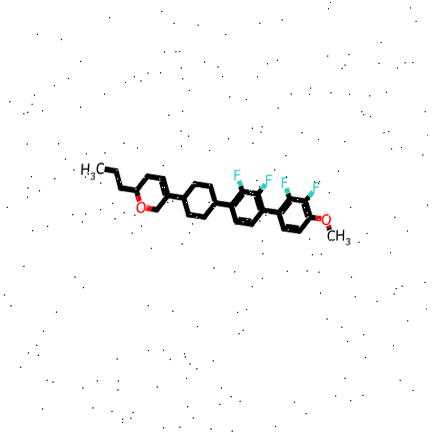 CCCC1CC=C(C2CCC(c3ccc(-c4ccc(OC)c(F)c4F)c(F)c3F)CC2)CO1